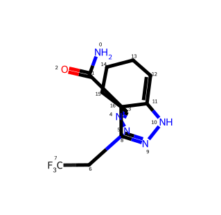 NC(=O)C1=NN(CC(F)(F)F)C2=NNC3=CCCCC312